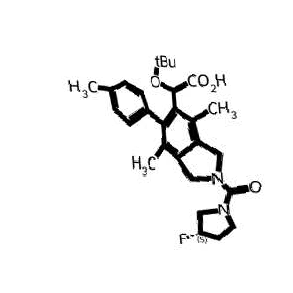 Cc1ccc(-c2c(C)c3c(c(C)c2C(OC(C)(C)C)C(=O)O)CN(C(=O)N2CC[C@H](F)C2)C3)cc1